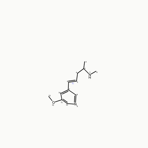 CNC(C)C/C=C/c1cncc(OC)c1